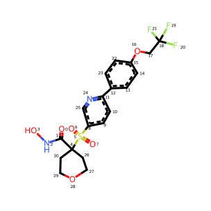 O=C(NO)C1(S(=O)(=O)c2ccc(-c3ccc(OCC(F)(F)F)cc3)nc2)CCOCC1